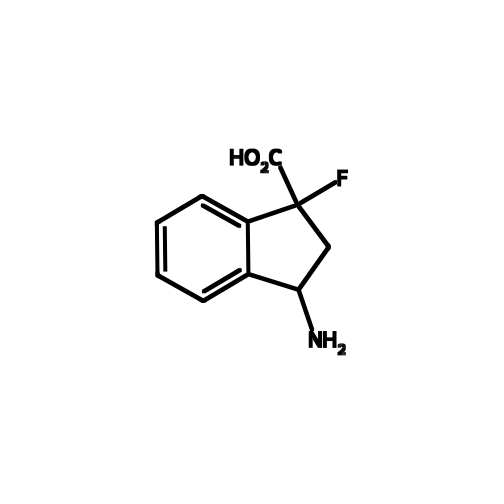 NC1CC(F)(C(=O)O)c2ccccc21